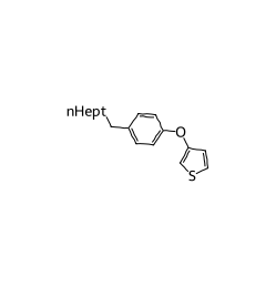 CCCCCCCCc1ccc(Oc2ccsc2)cc1